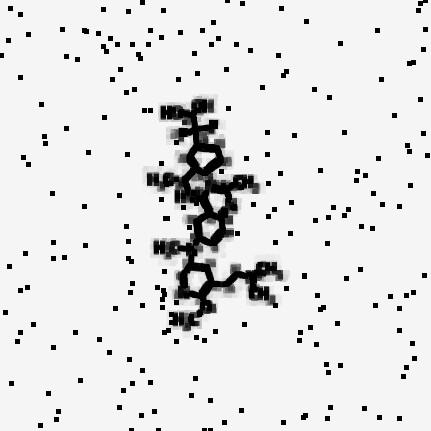 COc1ncc(N(C)c2ccc3nc(C)nc(N[C@H](C)c4cccc(C(F)(F)C(O)O)c4)c3c2)cc1CCN(C)C